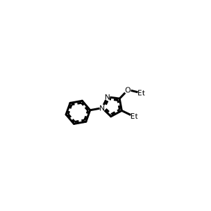 CCOc1nn(-c2ccccc2)cc1CC